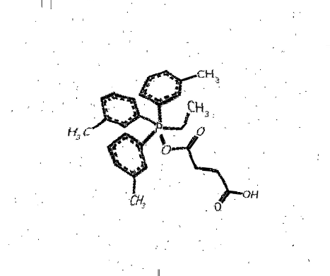 CCP(OC(=O)CCC(=O)O)(c1cccc(C)c1)(c1cccc(C)c1)c1cccc(C)c1